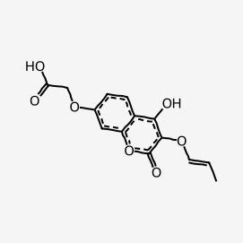 CC=COc1c(O)c2ccc(OCC(=O)O)cc2oc1=O